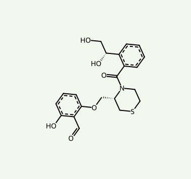 O=Cc1c(O)cccc1OC[C@H]1CSCCN1C(=O)c1ccccc1[C@H](O)CO